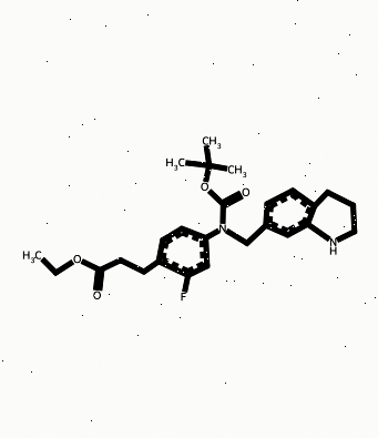 CCOC(=O)CCc1ccc(N(Cc2ccc3c(c2)NCCC3)C(=O)OC(C)(C)C)cc1F